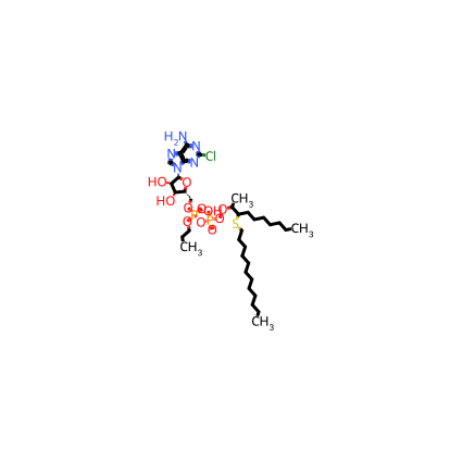 CCCCCCCCCCCCSC(CCCCCCC)C(C)OOP(=O)(O)OP(=O)(OCCC)OC[C@H]1O[C@@H](n2cnc3c(N)nc(Cl)nc32)[C@H](O)[C@@H]1O